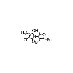 CC1=C(Cl)C(=O)N(c2noc(C(C)(C)C)c2Br)C1O